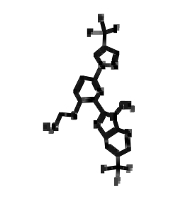 CCSc1ccc(-n2cc(C(F)(F)F)cn2)nc1-c1nc2cc(C(F)(F)F)cnc2n1C